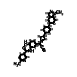 Cc1ccc(C(=O)Nc2cc(C(=C=O)N3CC(c4ccc(-c5ccc6c(cnn6C)c5)cc4)C3)ccc2C)cn1